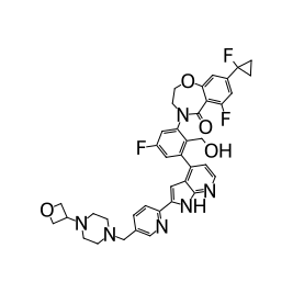 O=C1c2c(F)cc(C3(F)CC3)cc2OCCN1c1cc(F)cc(-c2ccnc3[nH]c(-c4ccc(CN5CCN(C6COC6)CC5)cn4)cc23)c1CO